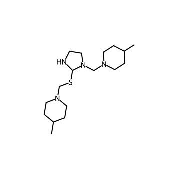 CC1CCN(CSC2NCCN2CN2CCC(C)CC2)CC1